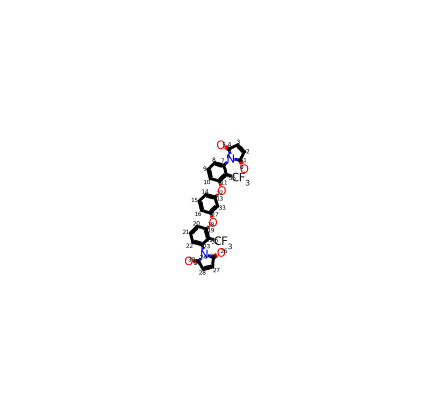 O=C1C=CC(=O)N1c1cccc(Oc2cccc(Oc3cccc(N4C(=O)C=CC4=O)c3C(F)(F)F)c2)c1C(F)(F)F